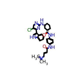 CN(C)CC=CC(=O)Nc1ccc(NC(=O)[C@H]2CCC[C@@H](Nc3ncc(Cl)c(-c4c[nH]c5ccccc45)n3)C2)cc1